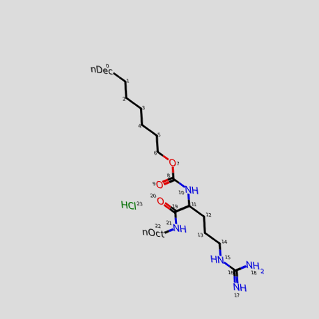 CCCCCCCCCCCCCCCCOC(=O)NC(CCCNC(=N)N)C(=O)NCCCCCCCC.Cl